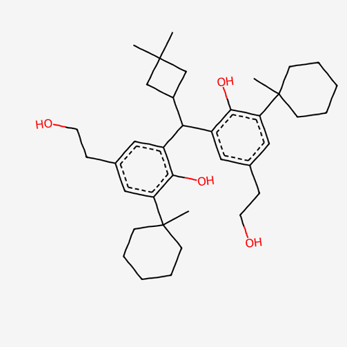 CC1(C)CC(C(c2cc(CCO)cc(C3(C)CCCCC3)c2O)c2cc(CCO)cc(C3(C)CCCCC3)c2O)C1